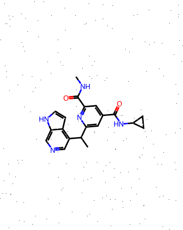 CNC(=O)c1cc(C(=O)NC2CC2)cc(C(C)c2cncc3[nH]ccc23)n1